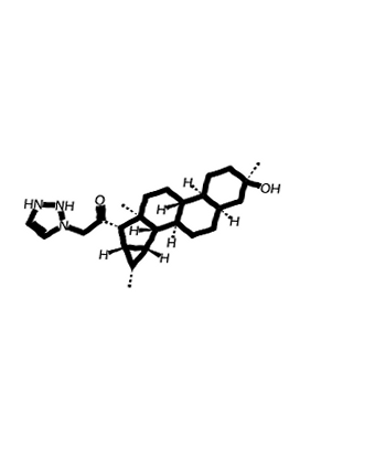 C[C@H]1[C@@H]2[C@H]1[C@H](C(=O)CN1C=CNN1)[C@@]1(C)CC[C@H]3[C@@H](CC[C@@H]4C[C@](C)(O)CC[C@@H]43)[C@H]21